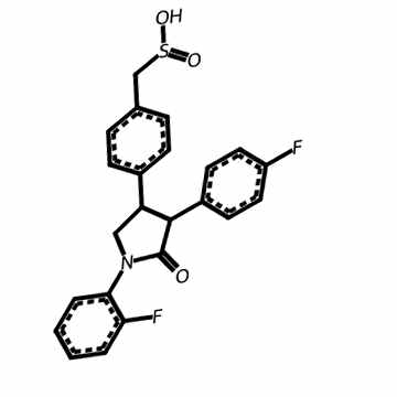 O=C1C(c2ccc(F)cc2)C(c2ccc(CS(=O)O)cc2)CN1c1ccccc1F